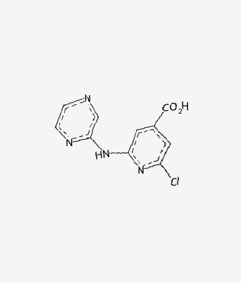 O=C(O)c1cc(Cl)nc(Nc2cnccn2)c1